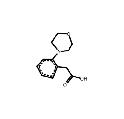 O=C(O)Cc1ccccc1N1CCOCC1